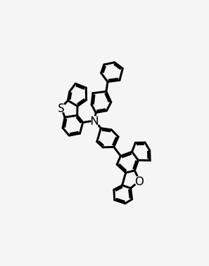 c1ccc(-c2ccc(N(c3ccc(-c4cc5c6ccccc6oc5c5ccccc45)cc3)c3cccc4sc5ccccc5c34)cc2)cc1